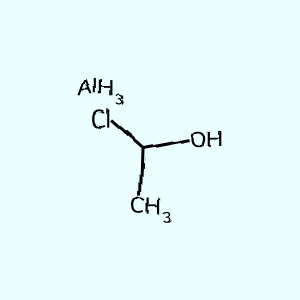 CC(O)Cl.[AlH3]